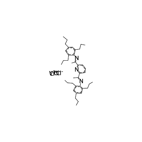 CCCc1cc(CCC)c(N=C(C)c2cccc(C(C)=Nc3c(CCC)cc(CCC)cc3CCC)n2)c(CCC)c1.[Cl-].[Cl-].[Cl-].[V+3]